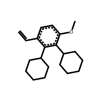 C=Cc1ccc(OC)c(C2CCCCC2)c1C1CCCCC1